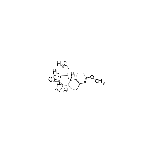 CC[C@H]1C[C@]2(C)C(=O)C=C[C@H]2[C@@H]2CCc3cc(OC)ccc3[C@@H]12